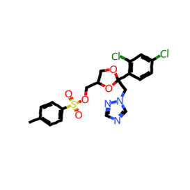 Cc1ccc(S(=O)(=O)OCC2COC(Cn3cncn3)(c3ccc(Cl)cc3Cl)O2)cc1